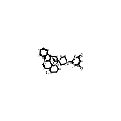 CC[C@]12C=Cn3c4c(c5ccccc53)CCN(CCC1)[C@@]42C(=O)N1CCN(c2nc(Cl)cc(Cl)n2)CC1